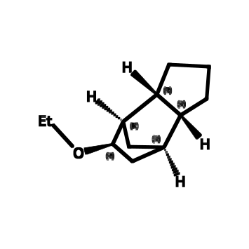 CCO[C@@H]1C[C@H]2C[C@@H]1[C@@H]1CCC[C@H]21